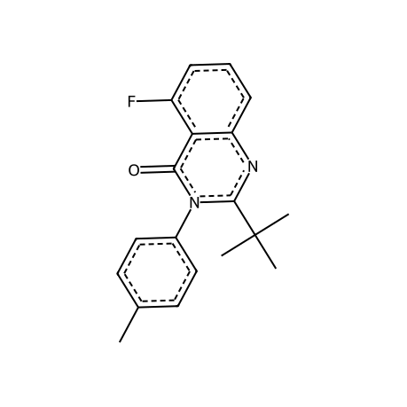 Cc1ccc(-n2c(C(C)(C)C)nc3cccc(F)c3c2=O)cc1